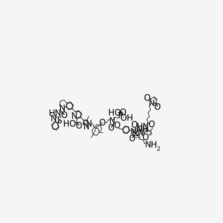 Cc1c(-c2ccc(-c3ccc4c(c3)N(C(=O)Nc3nc5ccccc5s3)CCC4)nc2C(=O)O)cnn1CC12CC3(C)CC(C)(C1)CC(OCCN(CCP(=O)(O)O)C(=O)OCc1ccc(N(C(N)=O)C(=O)[C@H](CCCN)NC(=O)[C@@H](NC(=O)CCCCCN4C(=O)C=CC4=O)C(C)C)cc1)(C3)C2